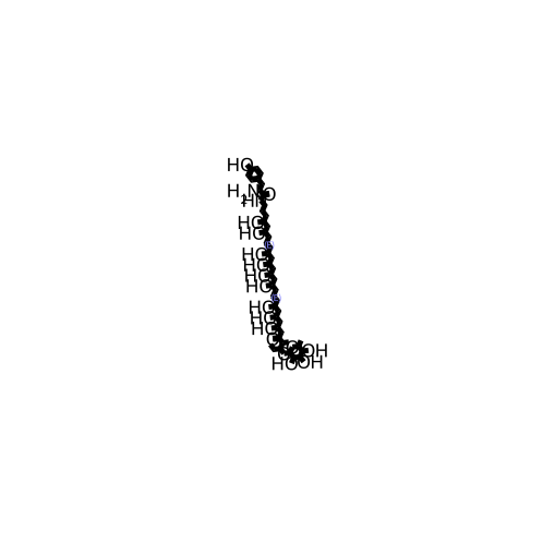 CCC(OC1OC(C)C(O)C(O)C1O)C(C)C(=O)CC(O)CC(O)CC(O)/C=C/CC(O)CC(O)CC(O)CC(O)/C=C/CC(O)CC(O)CCCNC(=O)C(N)Cc1ccc(O)cc1